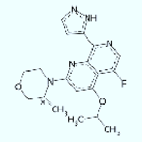 CC(C)Oc1cc(N2CCOC[C@H]2C)nc2c(-c3ccn[nH]3)ncc(F)c12